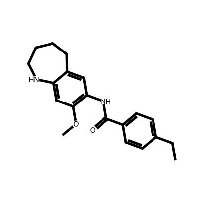 CCc1ccc(C(=O)Nc2cc3c(cc2OC)NCCCC3)cc1